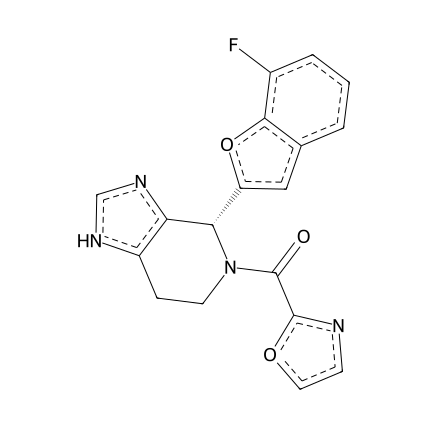 O=C(c1ncco1)N1CCc2[nH]cnc2[C@@H]1c1cc2cccc(F)c2o1